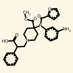 COC(=O)C1(N(C(=O)c2ccco2)c2cccc(N)c2)CCN(CC(C(=O)O)c2ccccc2)CC1